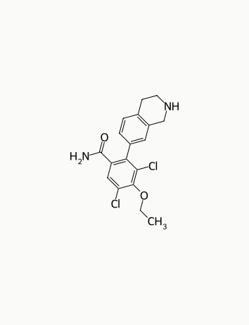 CCOc1c(Cl)cc(C(N)=O)c(-c2ccc3c(c2)CNCC3)c1Cl